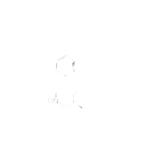 CC1=CC([C@H]2CNC[C@H](C)O2)CC=C1